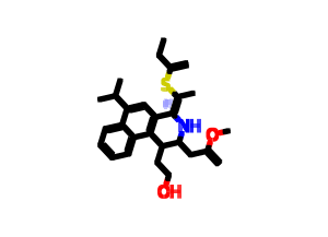 C=C(CC1N/C(=C(\C)SC(=C)CC)c2cc(C(C)C)c3ccccc3c2C1CCO)OC